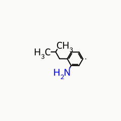 CC(C)Cc1cc[c]cc1N